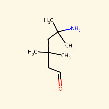 CC(C)(N)CC(C)(C)CC=O